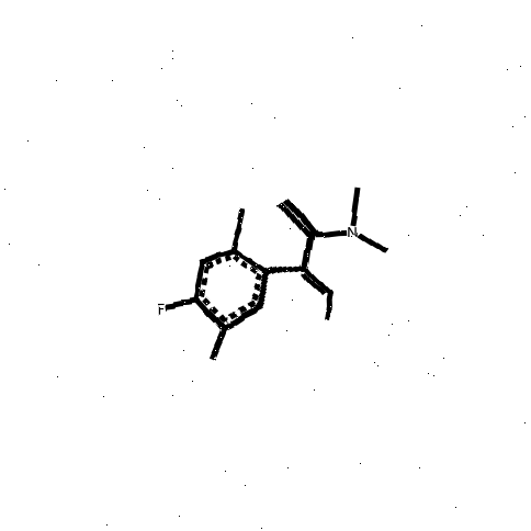 C=C(/C(=C/C)c1cc(C)c(F)cc1C)N(C)C